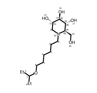 CCC(CC)OCCCCCCN1C[C@H](O)[C@@H](O)[C@H](O)[C@H]1CO